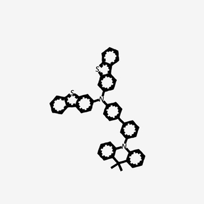 CC1(C)c2ccccc2N(c2cccc(-c3ccc(N(c4ccc5c(c4)sc4ccccc45)c4ccc5c(c4)sc4ccccc45)cc3)c2)c2ccccc21